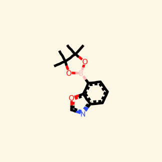 CC1(C)OB(c2cccc3ncoc23)OC1(C)C